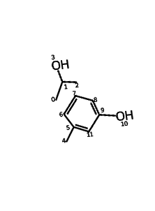 CC(C)O.Cc1cccc(O)c1